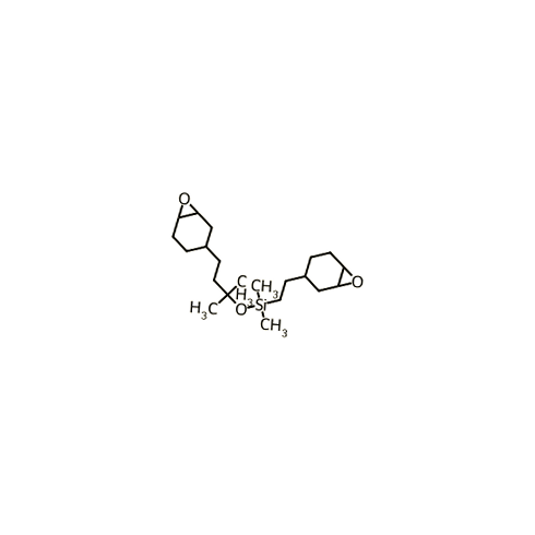 CC(C)(CCC1CCC2OC2C1)O[Si](C)(C)CCC1CCC2OC2C1